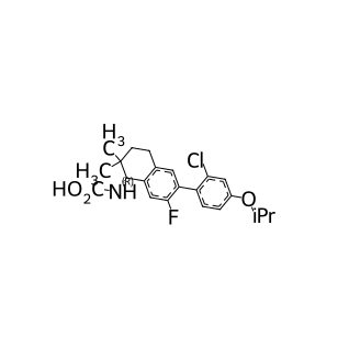 CC(C)Oc1ccc(-c2cc3c(cc2F)[C@H](NC(=O)O)C(C)(C)CC3)c(Cl)c1